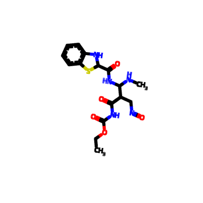 CCOC(=O)NC(=O)C(CN=O)C(NC)NC(=O)C1Nc2ccccc2S1